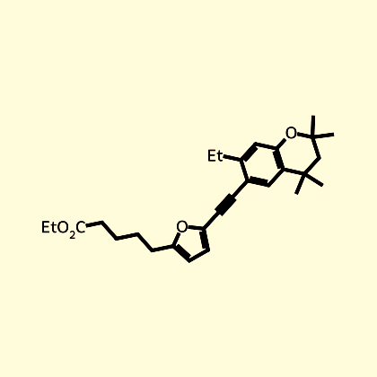 CCOC(=O)CCCCc1ccc(C#Cc2cc3c(cc2CC)OC(C)(C)CC3(C)C)o1